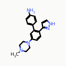 CN1CCN(c2ccc(-c3cc[nH]n3)c(-c3ccc(N)cc3)c2)CC1